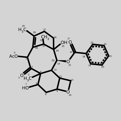 CC(=O)OC1C(=O)C2(C)C(O)CC3OCC3C2[C@H](OC(=O)c2ccccc2)C2(O)CCC(C)=C1C2C